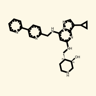 O[C@H]1CNCC[C@@H]1CNc1cc(NCc2ccc(-c3ccccn3)cn2)n2ncc(C3CC3)c2n1